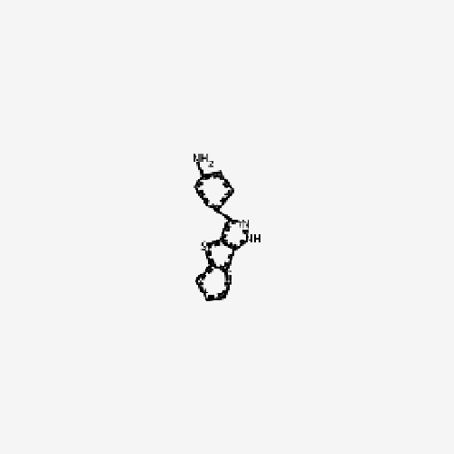 Nc1ccc(-c2n[nH]c3c2sc2ccccc23)cc1